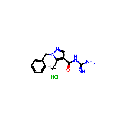 Cc1c(C(=O)NC(=N)N)cnn1Cc1ccccc1.Cl